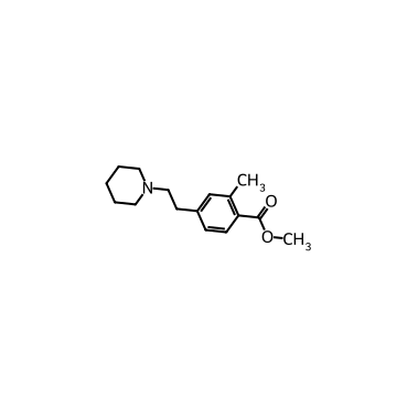 COC(=O)c1ccc(CCN2CCCCC2)cc1C